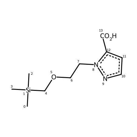 C[Si](C)(C)COCCn1nccc1C(=O)O